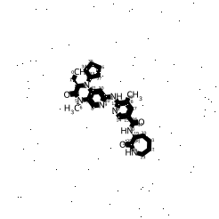 CC[C@@H]1C(=O)N(C)c2cnc(Nc3ncc(C(=O)N[C@@H]4CCCCNC4=O)cc3C)cc2N1C1CCCC1